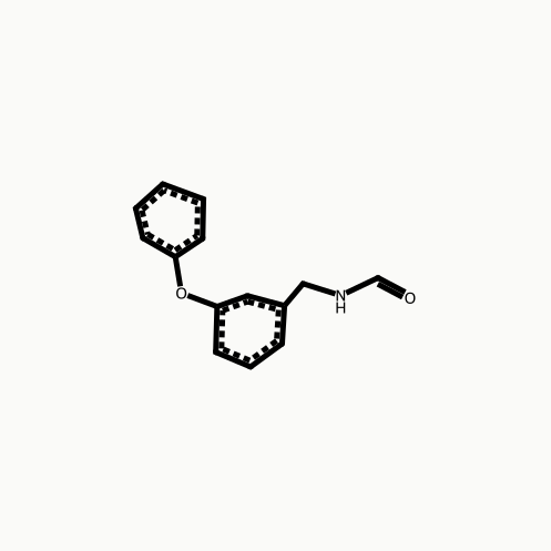 O=CNCc1cccc(Oc2ccccc2)c1